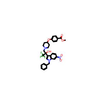 COC(=O)c1ccc(OC2CCN(CC(O)(c3cn(Cc4ccccc4)c4cc([N+](=O)[O-])ccc34)C(F)(F)F)CC2)cc1